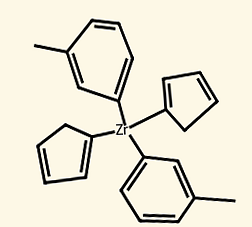 Cc1ccc[c]([Zr]([C]2=CC=CC2)([C]2=CC=CC2)[c]2cccc(C)c2)c1